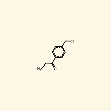 CCC(=O)c1ccc(CCl)cc1